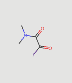 CN(C)C(=O)C(=O)I